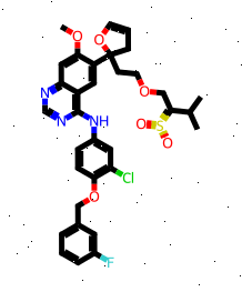 COc1cc2ncnc(Nc3ccc(OCc4cccc(F)c4)c(Cl)c3)c2cc1C1(CCOCC(C(C)C)=S(=O)=O)CC=CO1